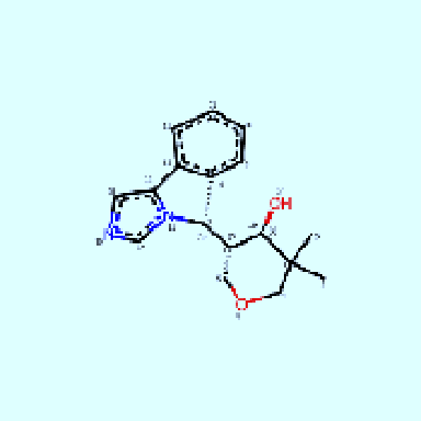 CC1(C)COC[C@H]([C@H]2c3ccccc3-c3cncn32)[C@H]1O